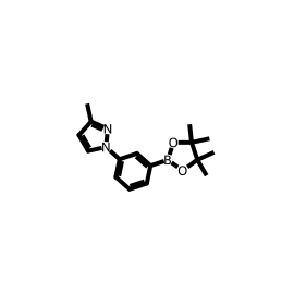 Cc1ccn(-c2cccc(B3OC(C)(C)C(C)(C)O3)c2)n1